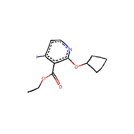 CCOC(=O)c1c(I)ccnc1OC1CCC1